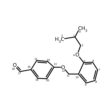 CC(C)COc1ccccc1COc1ccc(C=O)cc1